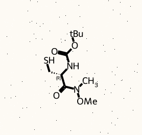 CON(C)C(=O)[C@H](CS)NC(=O)OC(C)(C)C